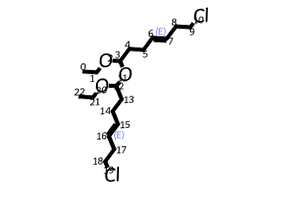 CCOC(CC/C=C/CCCl)OC(CC/C=C/CCCl)OCC